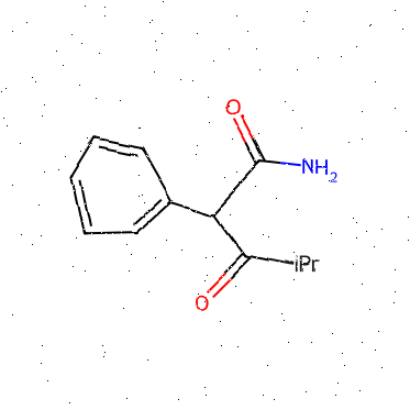 CC(C)C(=O)C(C(N)=O)c1ccccc1